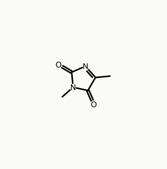 CC1=NC(=O)N(C)C1=O